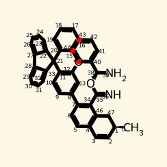 C[C@H]1C=Cc2ccc(-c3ccc4c(c3)Oc3ccccc3C43c4ccccc4-c4ccccc43)c(C(=N)OC(N)c3ccccc3)c2C1